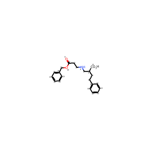 O=C(CCNCC(CCc1ccccc1)C(=O)O)OCc1ccccc1